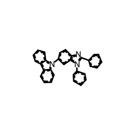 c1ccc(-c2nc3ccc(-n4c5ccccc5c5ccccc54)cc3n2-c2ccccc2)cc1